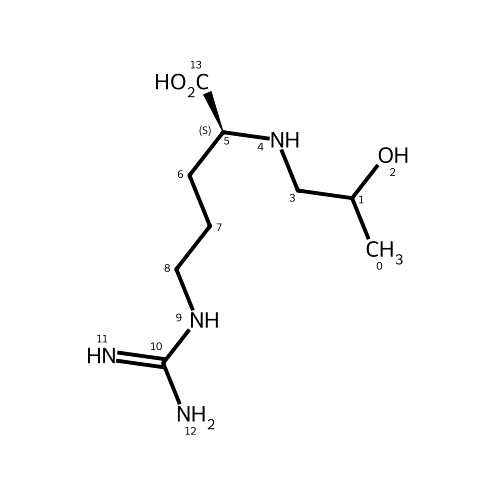 CC(O)CN[C@@H](CCCNC(=N)N)C(=O)O